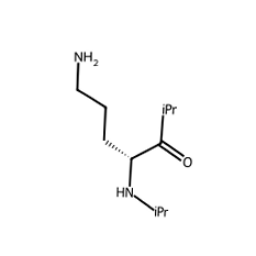 CC(C)N[C@H](CCCN)C(=O)C(C)C